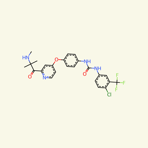 CNC(C)(C)C(=O)c1cc(Oc2ccc(NC(=O)Nc3ccc(Cl)c(C(F)(F)F)c3)cc2)ccn1